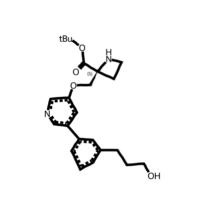 CC(C)(C)OC(=O)[C@@]1(COc2cncc(-c3cccc(CCCO)c3)c2)CCN1